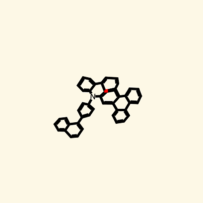 c1ccc(-c2ccccc2N(c2ccc(-c3cccc4ccccc34)cc2)c2ccc3c4ccccc4c4ccccc4c3c2)cc1